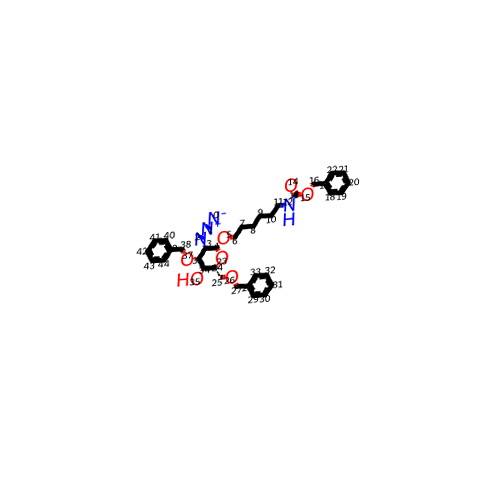 [N-]=[N+]=N[C@H]1[C@H](OCCCCCCNC(=O)OCc2ccccc2)O[C@H](COCc2ccccc2)[C@@H](O)[C@@H]1OCc1ccccc1